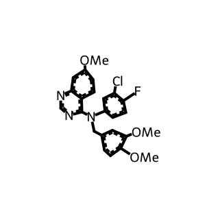 COc1ccc2c(N(Cc3ccc(OC)c(OC)c3)c3ccc(F)c(Cl)c3)ncnc2c1